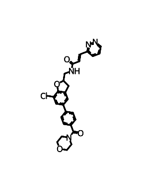 O=C(/C=C/c1cccnn1)NCC1Cc2cc(-c3ccc(C(=O)N4CCOCC4)cc3)cc(Cl)c2O1